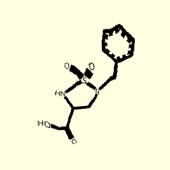 O=C(O)C1CN(Cc2ccccc2)S(=O)(=O)N1